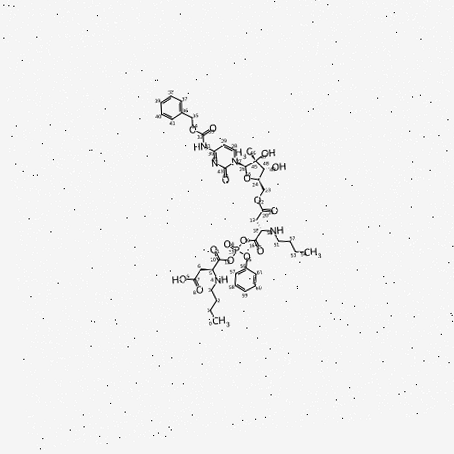 CCCCN[C@@H](CC(=O)O)C(=O)OP(=O)(OC(=O)[C@H](CC(=O)OC[C@H]1O[C@@H](n2ccc(NC(=O)OCc3ccccc3)nc2=O)[C@](C)(O)[C@@H]1O)NCCCC)Oc1ccccc1